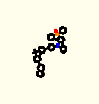 CC1(C)c2ccc(-c3ccc(-n4c5ccccc5c5ccc6c(c54)-c4ccccc4P6(=O)c4ccccc4)cc3)cc2-c2cc(-c3ccc4ccccc4c3)ccc21